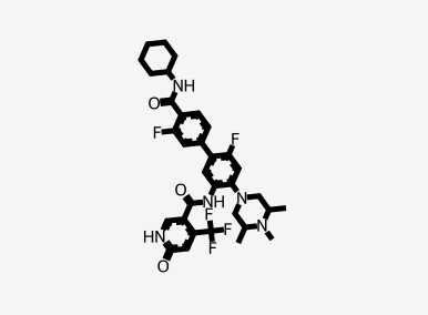 CC1CN(c2cc(F)c(-c3ccc(C(=O)NC4CCCCC4)c(F)c3)cc2NC(=O)c2c[nH]c(=O)cc2C(F)(F)F)CC(C)N1C